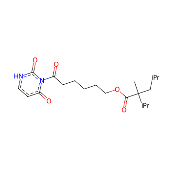 CC(C)CC(C)(C(=O)OCCCCCC(=O)n1c(=O)cc[nH]c1=O)C(C)C